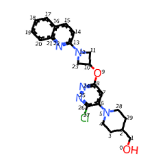 OCC1CCN(c2cc(OC3CN(c4ccc5ccccc5n4)C3)nnc2Cl)CC1